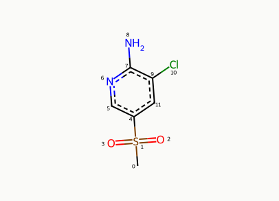 CS(=O)(=O)c1cnc(N)c(Cl)c1